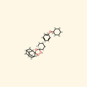 c1cc([C@H]2CC[C@]3(CC2)OO[C@]2(O3)C3CC4CC(C3)CC2C4)ccc1OC1CCCCC1